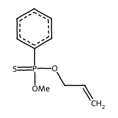 C=CCOP(=S)(OC)c1ccccc1